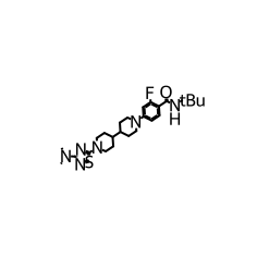 CN(C)c1nsc(N2CCC(C3CCN(c4ccc(C(=O)NC(C)(C)C)c(F)c4)CC3)CC2)n1